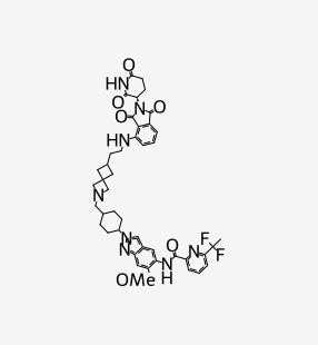 COc1cc2nn(C3CCC(CN4CC5(CC(CCNc6cccc7c6C(=O)N([C@@H]6CCC(=O)NC6=O)C7=O)C5)C4)CC3)cc2cc1NC(=O)c1cccc(C(C)(F)F)n1